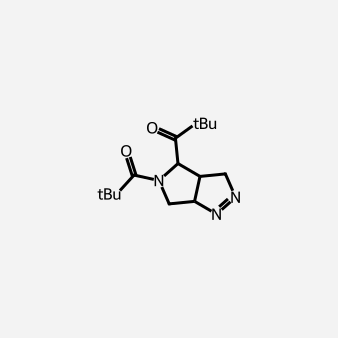 CC(C)(C)C(=O)C1C2CN=NC2CN1C(=O)C(C)(C)C